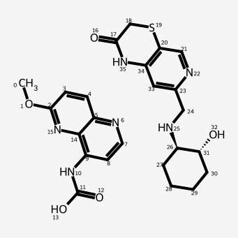 COc1ccc2nccc(NC(=O)O)c2n1.O=C1CSc2cnc(CN[C@@H]3CCCC[C@H]3O)cc2N1